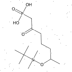 CC(CCCC(=O)CP(=O)(O)O)O[Si](C)(C)C(C)(C)C